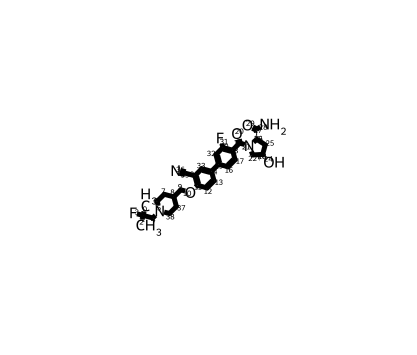 CC(C)(F)CN1CCC(COc2ccc(-c3ccc(C(=O)N4C[C@H](O)C[C@H]4C(N)=O)c(F)c3)cc2C#N)CC1